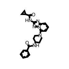 O=C(NC1CCN(c2cccc3nc(NC(=O)C4CC4)nn23)CC1)c1ccccc1